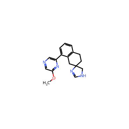 COc1cncc(-c2cccc3c2CC2(CC3)CNC=N2)n1